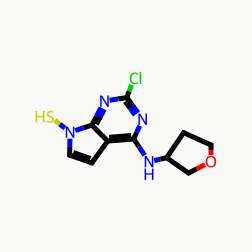 Sn1ccc2c(NC3CCOC3)nc(Cl)nc21